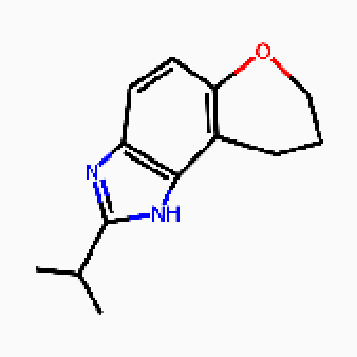 CC(C)c1nc2ccc3c(c2[nH]1)CCCO3